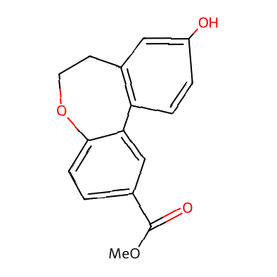 COC(=O)c1ccc2c(c1)-c1ccc(O)cc1CCO2